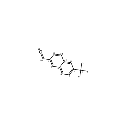 CC(C)(C)c1ccc2cc(C=O)ccc2c1